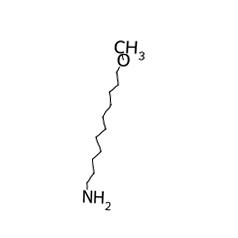 COCCCCCCCCCCCN